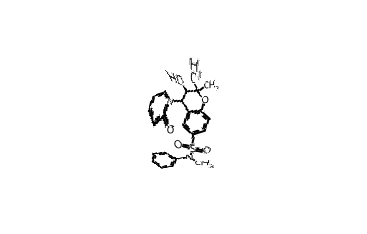 CN(c1ccccc1)S(=O)(=O)c1ccc2c(c1)C(n1ccccc1=O)C(O)C(C)(C)O2